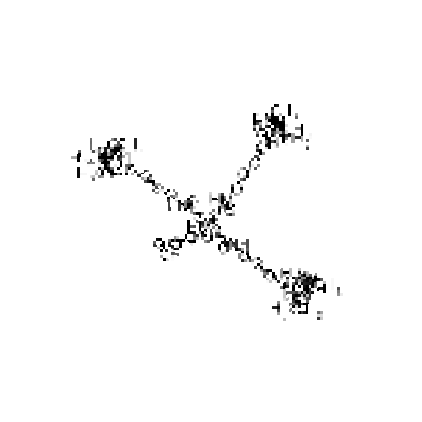 CO[C@@H]1O[C@H](COCCOCCOCCOCCNC(=O)CCOCC(COCCC(=O)NCCOCCOCCOCCOC[C@H]2O[C@@H](OC)[C@H](NC(C)=O)[C@H]3OC(C)(C)O[C@H]32)(COCCC(=O)NCCOCCOCCOCCOC[C@H]2O[C@@H](OC)[C@H](NC(C)=O)[C@H]3OC(C)(C)O[C@H]32)NC(=O)c2ccc(-c3ccc(C(=O)O)cc3)cc2)[C@@H]2OC(C)(C)O[C@@H]2[C@H]1NC(C)=O